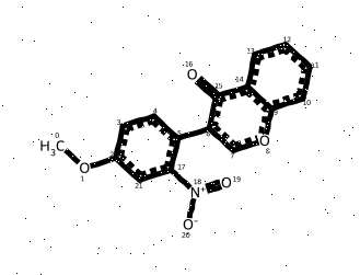 COc1ccc(-c2coc3ccccc3c2=O)c([N+](=O)[O-])c1